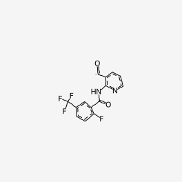 O=[C]c1cccnc1NC(=O)c1cc(C(F)(F)F)ccc1F